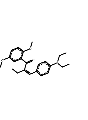 CCC(=Cc1ccc(N(CC)CC)cc1)C(=O)c1cc(OC)ccc1OC